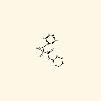 CCC1(C(=O)OC2CCCCC2)OC1c1ccccc1